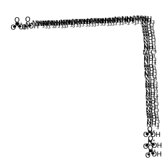 N.N.N.N.N.N.N.N.N.N.N.N.N.N.N.N.N.N.N.N.N.N.N.N.N.N.N.N.N.N.N.N.N.N.N.N.N.N.N.N.N.N.N.N.N.N.N.N.N.N.N.N.N.N.N.N.N.N.N.N.N.N.N.N.N.N.N.N.N.N.N.N.O=[N+]([O-])O.O=[N+]([O-])O.O=[N+]([O-])O.O=[N+]([O-])O.O=[N+]([O-])O